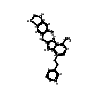 Nc1ncn(CCc2cccnc2)c2nc(Sc3cc4c(cc3Br)OCO4)nc1-2